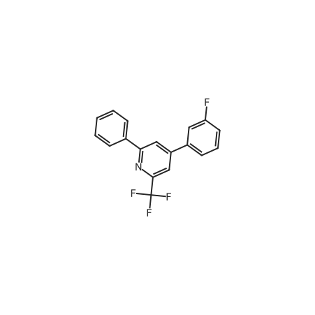 Fc1cccc(-c2cc(-c3ccccc3)nc(C(F)(F)F)c2)c1